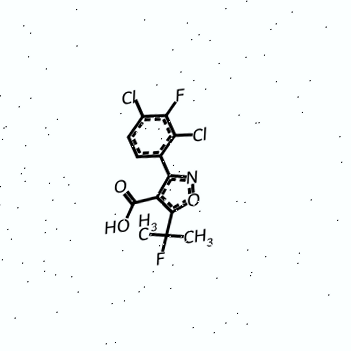 CC(C)(F)c1onc(-c2ccc(Cl)c(F)c2Cl)c1C(=O)O